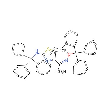 C=CCc1ccccc1C(ON=C(C(=O)O)c1nc(NC(c2ccccc2)(c2ccccc2)c2ccccc2)sc1C(F)(F)F)(c1ccccc1)c1ccccc1